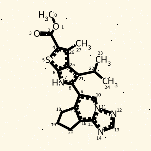 COC(=O)c1sc2[nH]c(-c3cn4ncnc4c4c3CCC4)c(C(C)C)c2c1C